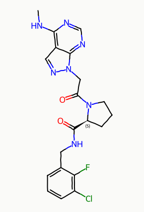 CNc1ncnc2c1cnn2CC(=O)N1CCC[C@H]1C(=O)NCc1cccc(Cl)c1F